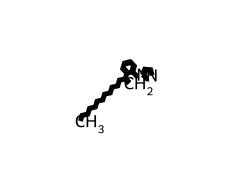 C=C(CCCCCCCCCCCC)c1ccccc1Cn1ccnc1